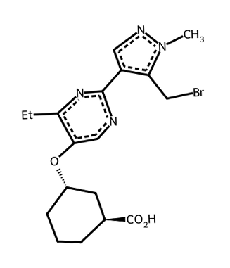 CCc1nc(-c2cnn(C)c2CBr)ncc1O[C@H]1CCC[C@H](C(=O)O)C1